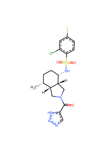 C[C@@H]1CC[C@H](NS(=O)(=O)c2ccc(F)cc2Cl)[C@@H]2CN(C(=O)c3cnn[nH]3)C[C@@H]21